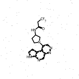 O=C(CC(F)(F)F)NC1CCN(c2cnnc3cnc4[nH]ccc4c23)C1